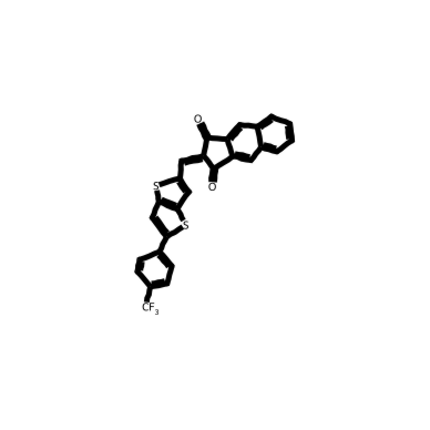 O=C1C(=Cc2cc3sc(-c4ccc(C(F)(F)F)cc4)cc3s2)C(=O)c2cc3ccccc3cc21